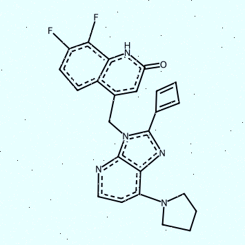 O=c1cc(Cn2c(C3=CC=C3)nc3c(N4CCCC4)ccnc32)c2ccc(F)c(F)c2[nH]1